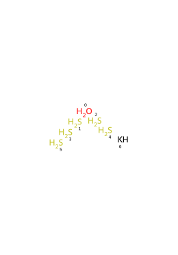 O.S.S.S.S.S.[KH]